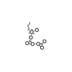 C=C/C=C\C=C(/C)c1nc(-c2ccccc2)nc(-c2ccc(-n3c4ccccc4c4ccc(-c5ccc6c(c5)c5ccccc5n6-c5ccccc5)cc43)cc2)n1